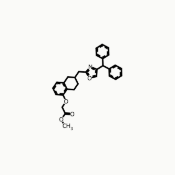 COC(=O)COc1cccc2c1CCC(Cc1nc(C(c3ccccc3)c3ccccc3)co1)C2